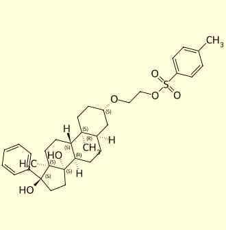 Cc1ccc(S(=O)(=O)OCCO[C@H]2CC[C@@]3(C)[C@H](CC[C@@H]4[C@@H]3CC[C@]3(C)[C@@](O)(c5ccccc5)CC[C@]43O)C2)cc1